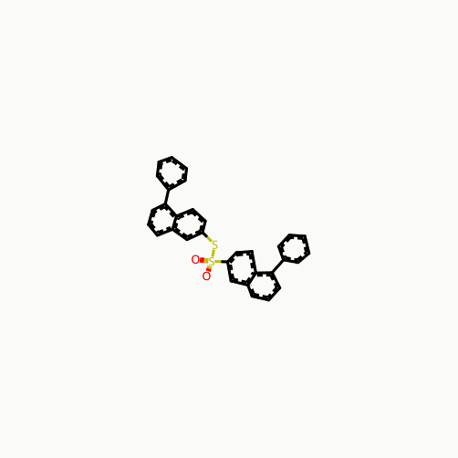 O=S(=O)(Sc1ccc2c(-c3ccccc3)cccc2c1)c1ccc2c(-c3ccccc3)cccc2c1